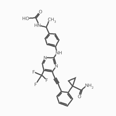 CC(NC(=O)O)c1ccc(Nc2ncc(C(F)(F)F)c(C#Cc3ccccc3C3(C(N)=O)CC3)n2)cc1